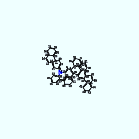 c1ccc(-c2cc(N(c3ccc4c(ccc5ccccc54)c3)c3ccccc3-c3ccccc3)ccc2-c2cc3c4ccccc4ccc3c3ccccc23)cc1